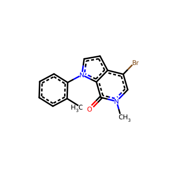 Cc1ccccc1-n1ccc2c(Br)cn(C)c(=O)c21